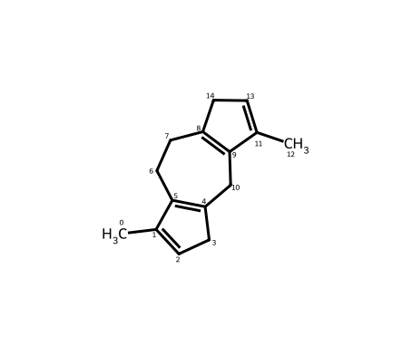 CC1=CCC2=C1CCC1=C(C2)C(C)=CC1